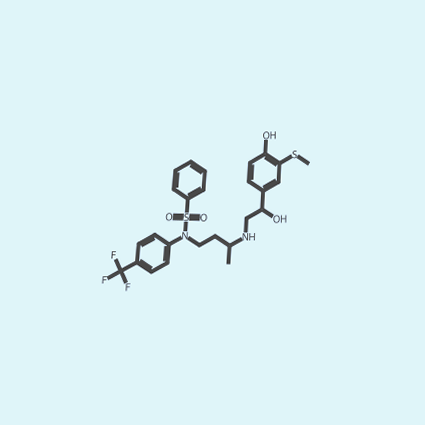 CSc1cc(C(O)CNC(C)CCN(c2ccc(C(F)(F)F)cc2)S(=O)(=O)c2ccccc2)ccc1O